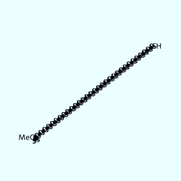 COS(=S)(=S)SSSSSSSSSSSSSSSSSSSSSSSSSSSSSSSSSSSSSSSSSSSSSSSSSSSSSSSSSSSSSS